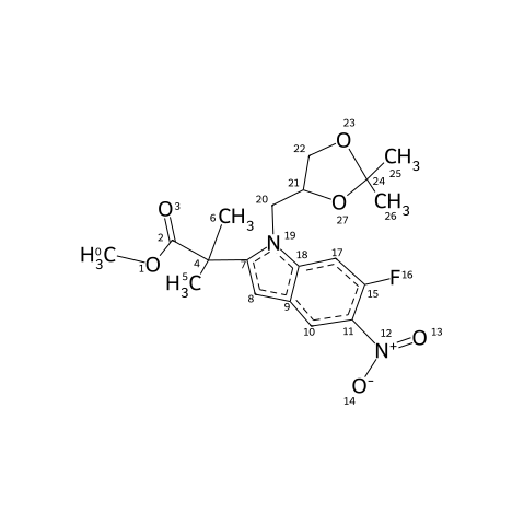 COC(=O)C(C)(C)c1cc2cc([N+](=O)[O-])c(F)cc2n1CC1COC(C)(C)O1